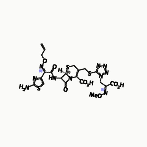 C=CCO/N=C(\C(=O)NC1C(=O)N2C(C(=O)O)=C(CSc3nnnn3C/C(=N\OC)C(=O)O)CS[C@H]12)c1csc(N)n1